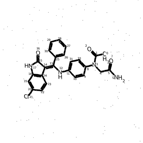 CC(=O)N(CC(N)=O)c1ccc(NC(=C2C(=O)Nc3cc(Cl)ccc32)c2ccccc2)cc1